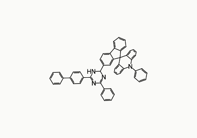 c1ccc(C2=NC(c3ccc4c(c3)C3(c5ccccc5-4)c4ccccc4N(c4ccccc4)c4ccccc43)NC(c3ccc(-c4ccccc4)cc3)=N2)cc1